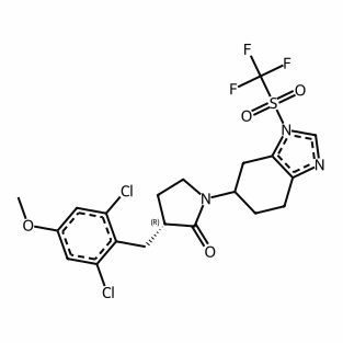 COc1cc(Cl)c(C[C@@H]2CCN(C3CCc4ncn(S(=O)(=O)C(F)(F)F)c4C3)C2=O)c(Cl)c1